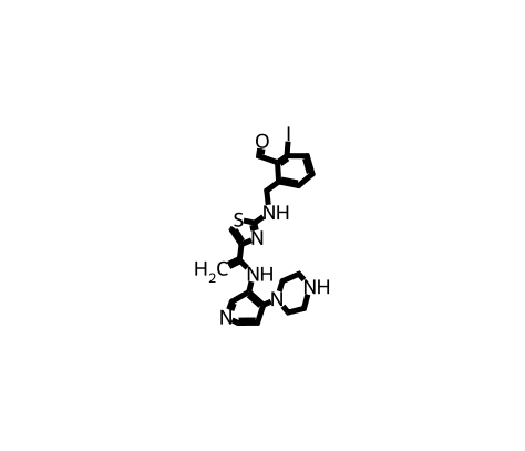 C=C(Nc1cnccc1N1CCNCC1)c1csc(NCc2cccc(I)c2C=O)n1